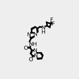 O=C(NCc1cn2cc(CNC3CC(F)(F)C3)ccc2n1)c1cc(=O)n2ccccc2n1